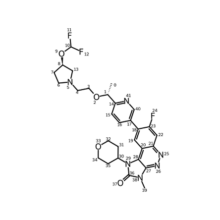 C[C@@H](OCCN1CC[C@@H](OC(F)F)C1)c1ccc(-c2cc3c(cc2F)nnc2c3n(C3CCOCC3)c(=O)n2C)cn1